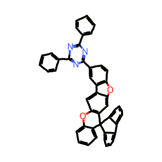 c1ccc(-c2nc(-c3ccccc3)nc(-c3ccc4oc5cc6c(cc5c4c3)Oc3ccccc3C63c4ccccc4-c4ccccc43)n2)cc1